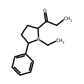 CCC(=O)C1CCC(c2ccccc2)N1CC